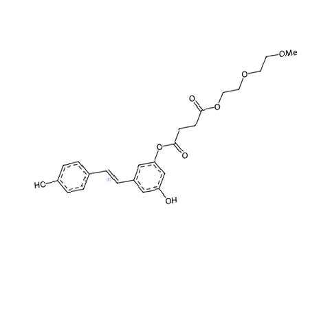 COCCOCCOC(=O)CCC(=O)Oc1cc(O)cc(/C=C/c2ccc(O)cc2)c1